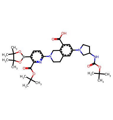 CC(C)(C)OC(=O)NC1CCN(c2cc3c(c(C(=O)O)c2)CN(c2ccc(B4OC(C)(C)C(C)(C)O4)c(C(=O)OC(C)(C)C)n2)CC3)C1